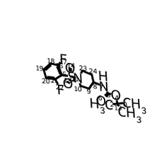 CC(C)(C)OC(=O)NC1CCN(S(=O)(=O)c2c(F)cccc2F)CC1